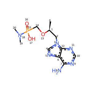 C[C@@H](Cn1cnc2c(N)ncnc21)OCP(=O)(O)N(C)C